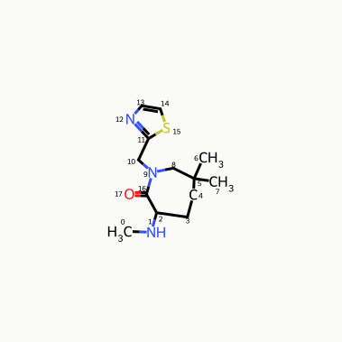 CNC1CCC(C)(C)CN(Cc2nccs2)C1=O